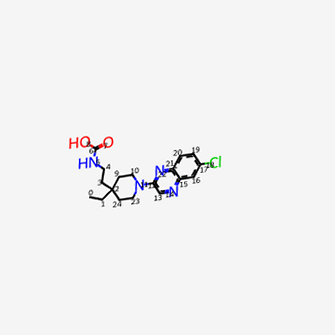 CCC1(CCNC(=O)O)CCN(c2cnc3cc(Cl)ccc3n2)CC1